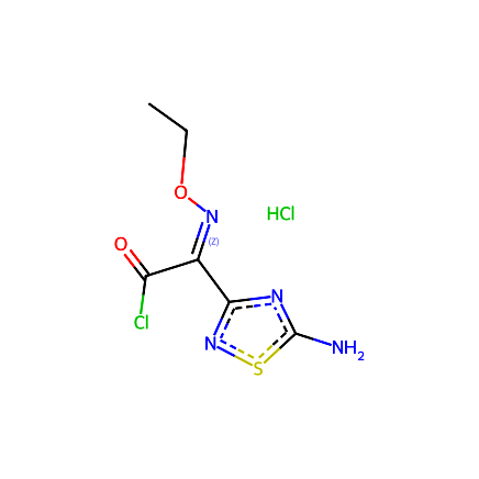 CCO/N=C(\C(=O)Cl)c1nsc(N)n1.Cl